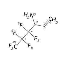 C=CC(N)C(F)(F)C(F)(F)C(F)(F)F